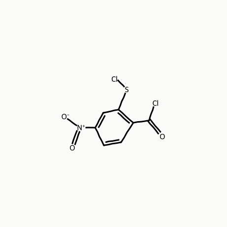 O=C(Cl)c1ccc([N+](=O)[O-])cc1SCl